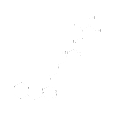 CN(C)C(=O)NNC(=S)NCCCOc1cccc(CN2CCCCC2)c1